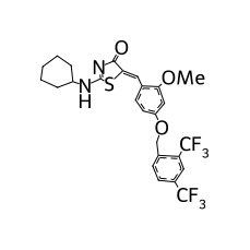 COc1cc(OCc2ccc(C(F)(F)F)cc2C(F)(F)F)ccc1C=C1SC(NC2CCCCC2)=NC1=O